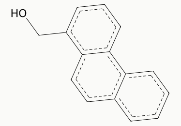 OCc1cccc2c1ccc1ccccc12